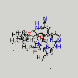 Cc1cc(Nc2nccc(-c3cc(C#N)c4c(c3)[C@@](C)(CO[Si](C)(C)C(C)(C)C)CN4)n2)n(CC(=O)N2CC(F)(F)C2)n1